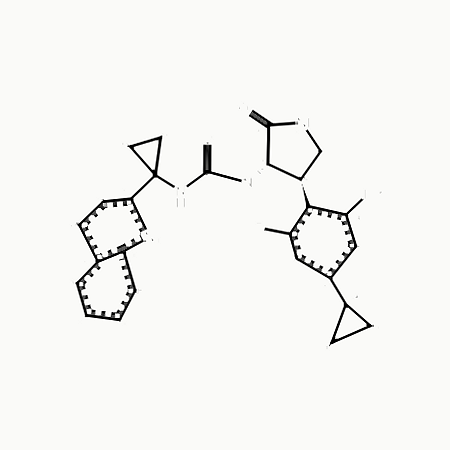 O=C(N[C@@H]1C(=O)NC[C@H]1c1c(F)cc(C2CC2)cc1F)NC1(c2ccc3ccccc3n2)CC1